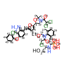 CC1(C)OC(c2ccco2)CN1C(=O)C(Cl)Cl.CCOCN(C(=O)CCl)c1c(C)cccc1CC.Nc1c([N+](=O)[O-])ccc(Oc2ccccc2)c1Cl.O=C(O)CNCP(=O)(O)O